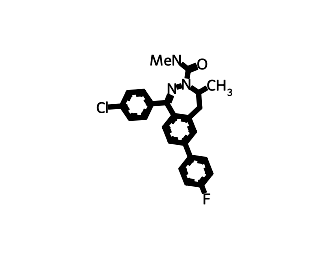 CNC(=O)N1N=C(c2ccc(Cl)cc2)c2ccc(-c3ccc(F)cc3)cc2CC1C